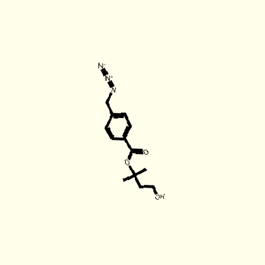 CC(C)(CCO)OC(=O)c1ccc(CN=[N+]=[N-])cc1